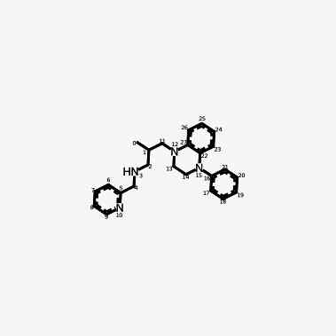 CC(CNCc1ccccn1)CN1CCN(c2ccccc2)c2ccccc21